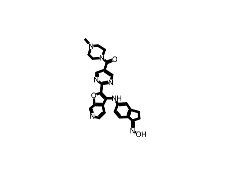 CN1CCN(C(=O)c2cnc(-c3oc4cnccc4c3Nc3ccc4c(c3)CC/C4=N\O)nc2)CC1